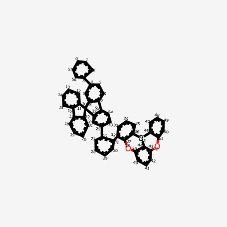 c1ccc(-c2ccc3c(c2)C2(c4ccccc4-c4ccccc42)c2cc(-c4ccccc4-c4cccc5c4Oc4cccc6c4B5c4ccccc4O6)ccc2-3)cc1